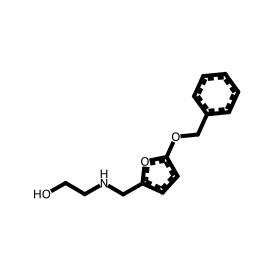 OCCNCc1ccc(OCc2ccccc2)o1